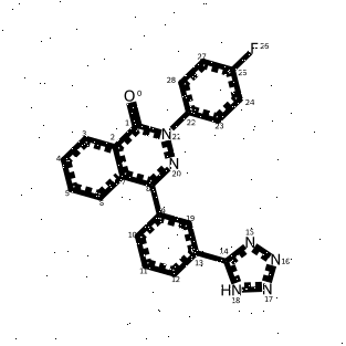 O=c1c2ccccc2c(-c2cccc(-c3nnn[nH]3)c2)nn1-c1ccc(F)cc1